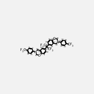 FC(F)(F)c1ccc(N2COc3ccc(C(c4ccc5c(c4)CN(c4ccc(C(F)(F)F)cc4)CO5)(C(F)(F)F)C(F)(F)F)cc3C2)cc1